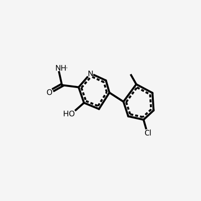 Cc1ccc(Cl)cc1-c1cnc(C([NH])=O)c(O)c1